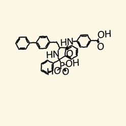 O=C(O)c1ccc(NC(=O)C(Cc2ccc(-c3ccccc3)cc2)NC(c2ccccc2)(c2ccccc2)P(=O)(O)O)cc1